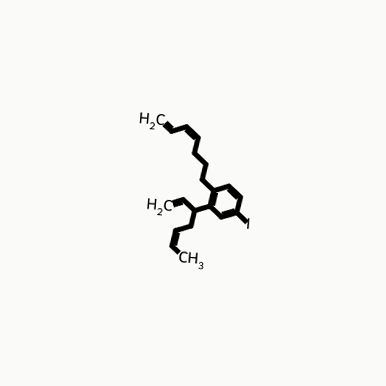 C=C/C=C\CCCc1ccc(I)cc1C(C=C)C/C=C\C